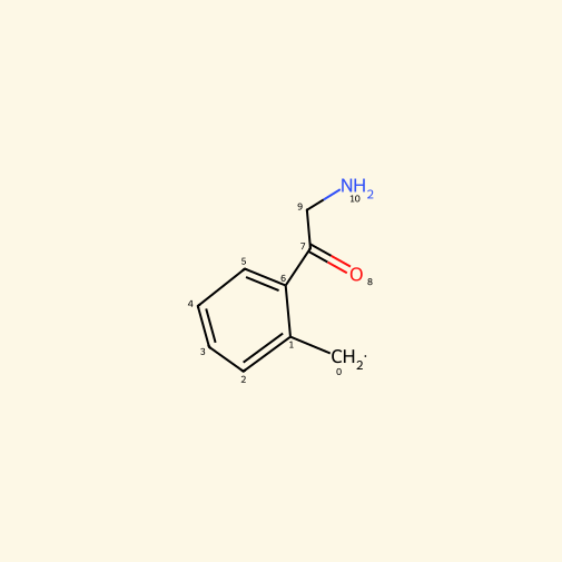 [CH2]c1ccccc1C(=O)CN